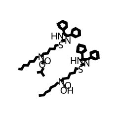 CCCCCCCN(CCCCCSc1nc(-c2ccccc2)c(-c2ccccc2)[nH]1)C(=O)O.CCCCCCCN(CCCCCSc1nc(-c2ccccc2)c(-c2ccccc2)[nH]1)C(=O)OCC(C)C